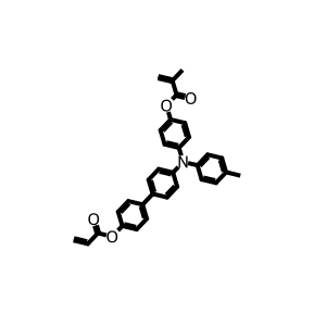 C=CC(=O)Oc1ccc(-c2ccc(N(c3ccc(C)cc3)c3ccc(OC(=O)C(=C)C)cc3)cc2)cc1